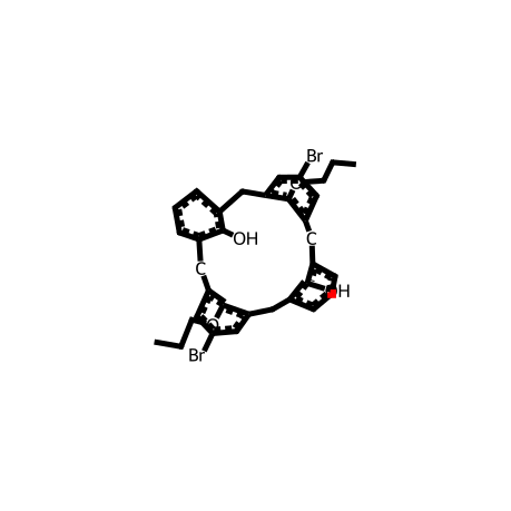 CCCOc1c2cc(Br)cc1Cc1cccc(c1O)Cc1cc(Br)cc(c1OCCC)Cc1cccc(c1O)C2